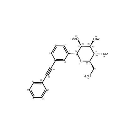 CC(=O)OC[C@H]1O[C@H](c2cccc(C#Cc3ccccc3)c2)[C@@H](OC(C)=O)[C@@H](OC(C)=O)[C@@H]1OC(C)=O